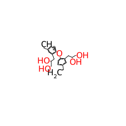 C=Cc1ccc(Oc2ccc(C=C)cc2CC(O)CO)c(CC(O)CO)c1